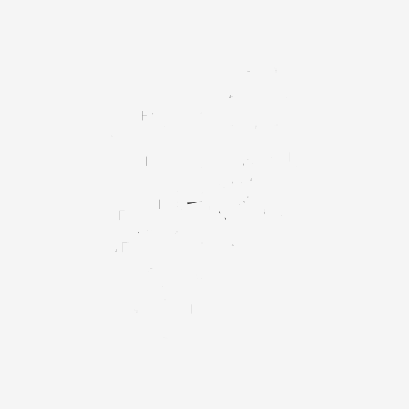 CO[C@H](c1ccc(C(F)(F)F)cc1[C@@H]1OC(=O)N(Cc2cc(C(F)(F)F)cc(C(F)(F)F)c2)[C@H]1C)C1CCCCC1